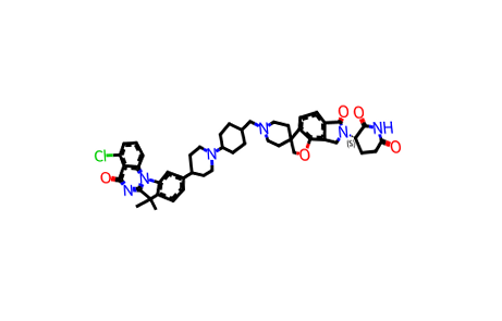 CC1(C)c2ccc(C3CCN(C4CCC(CN5CCC6(CC5)COc5c6ccc6c5CN([C@H]5CCC(=O)NC5=O)C6=O)CC4)CC3)cc2-n2c1nc(=O)c1c(Cl)cccc12